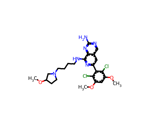 COc1cc(OC)c(Cl)c(-c2cc3cnc(N)nc3c(NCCCCN3CCC(OC)C3)n2)c1Cl